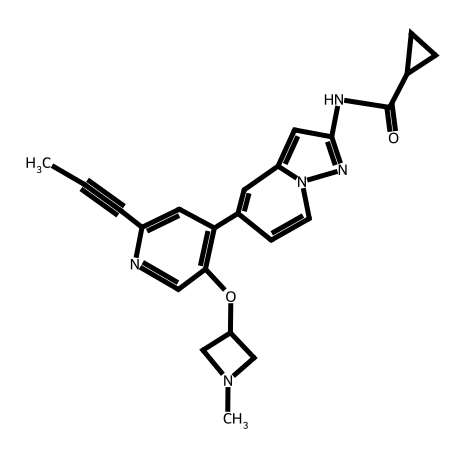 CC#Cc1cc(-c2ccn3nc(NC(=O)C4CC4)cc3c2)c(OC2CN(C)C2)cn1